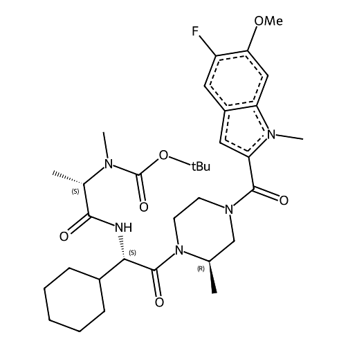 COc1cc2c(cc1F)cc(C(=O)N1CCN(C(=O)[C@@H](NC(=O)[C@H](C)N(C)C(=O)OC(C)(C)C)C3CCCCC3)[C@H](C)C1)n2C